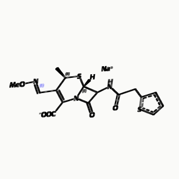 CO/N=C/C1=C(C(=O)[O-])N2C(=O)C(NC(=O)Cc3cccs3)[C@H]2S[C@@H]1C.[Na+]